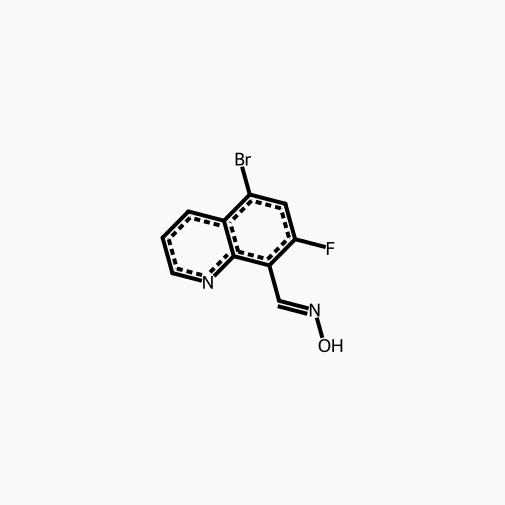 ON=Cc1c(F)cc(Br)c2cccnc12